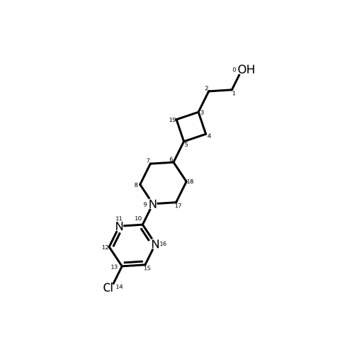 OCCC1CC(C2CCN(c3ncc(Cl)cn3)CC2)C1